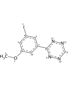 COc1cc(I)cc(-c2nncnn2)c1